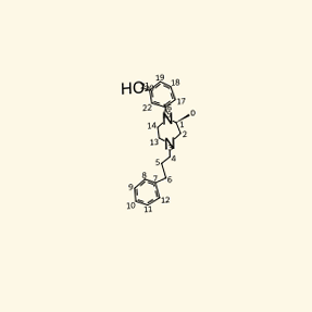 C[C@H]1CN(CCCc2ccccc2)CCN1c1cccc(O)c1